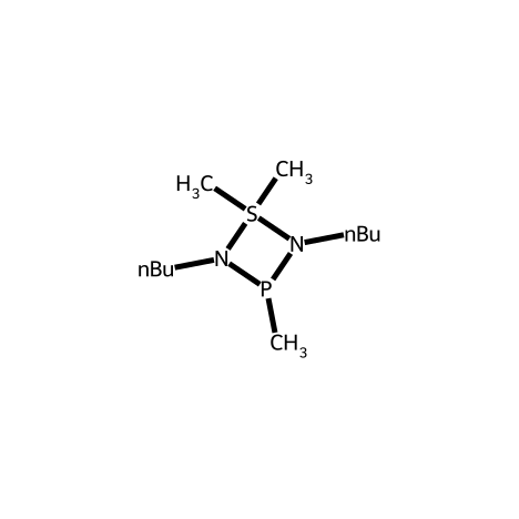 CCCCN1P(C)N(CCCC)S1(C)C